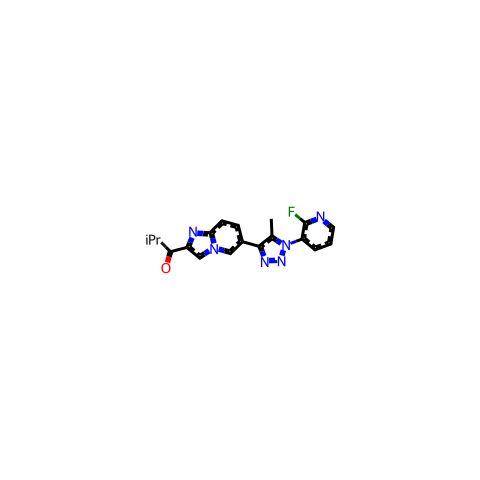 Cc1c(-c2ccc3nc(C(=O)C(C)C)cn3c2)nnn1-c1cccnc1F